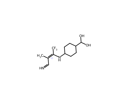 C/C(C=N)=C(/NC1CCC(C(O)O)CC1)C(F)(F)F